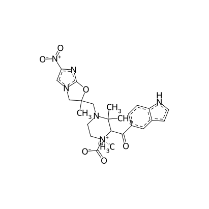 CC1(CN2CC[N@+](C)(C(=O)[O-])C(C(=O)c3ccc4[nH]ccc4c3)C2(C)C)Cn2cc([N+](=O)[O-])nc2O1